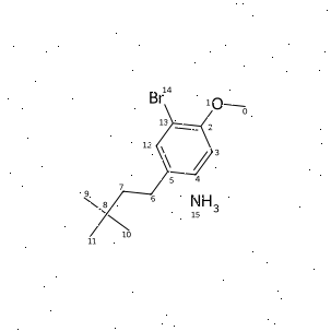 COc1ccc(CCC(C)(C)C)cc1Br.N